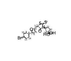 O=C1/C(=C\c2ccc(-c3ccc(Br)cc3)o2)SC(=S)N1C1CCS(O)(O)C1